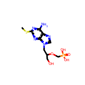 CSc1nc(N)c2ncn(CC(CO)OCP(=O)(O)O)c2n1